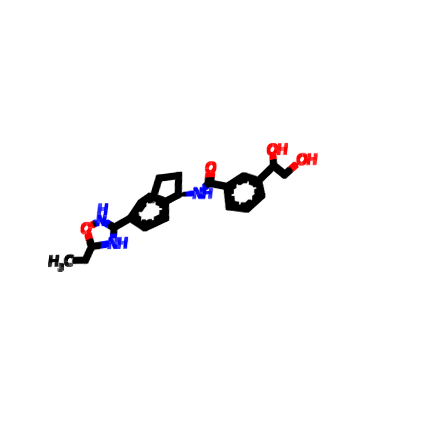 CCC1NC(c2ccc3c(c2)CC[C@H]3NC(=O)c2cccc(C(O)CO)c2)NO1